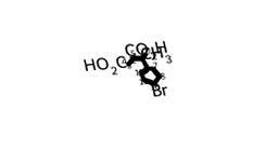 CC(=C(CC(=O)O)C(=O)O)c1ccc(Br)cc1